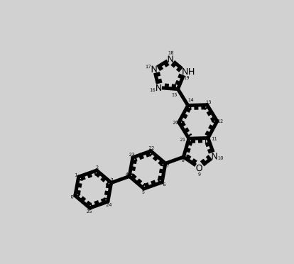 c1ccc(-c2ccc(-c3onc4ccc(-c5nnn[nH]5)cc34)cc2)cc1